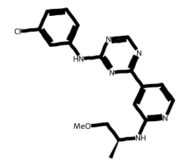 COC[C@H](C)Nc1cc(-c2ncnc(Nc3cccc(Cl)c3)n2)ccn1